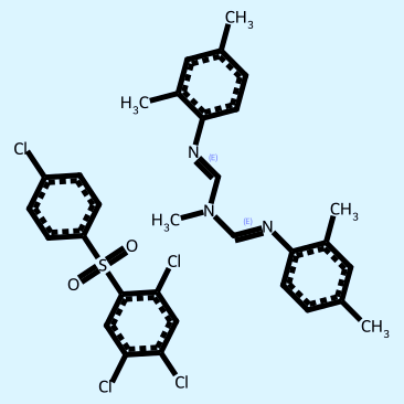 Cc1ccc(/N=C/N(C)/C=N/c2ccc(C)cc2C)c(C)c1.O=S(=O)(c1ccc(Cl)cc1)c1cc(Cl)c(Cl)cc1Cl